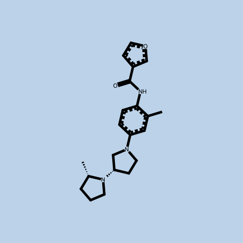 Cc1cc(N2CC[C@H](N3CCC[C@@H]3C)C2)ccc1NC(=O)c1ccoc1